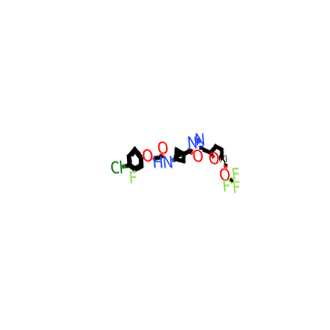 O=C(COc1ccc(Cl)c(F)c1)NC12CC(c3nnc(C4CC[C@H](COC(F)(F)F)O4)o3)(C1)C2